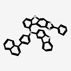 c1ccc(-c2nc3cc4c(cc3s2)oc2cccc(N(c3ccc(-c5cccc6ccccc56)cc3)c3ccc5sc6ccccc6c5c3)c24)cc1